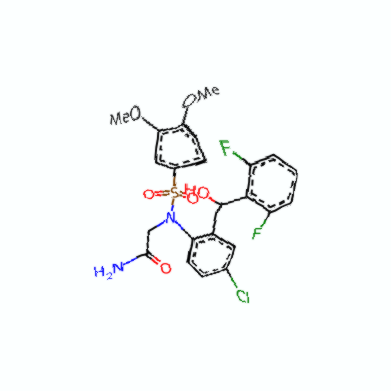 COc1ccc(S(=O)(=O)N(CC(N)=O)c2ccc(Cl)cc2C(O)c2c(F)cccc2F)cc1OC